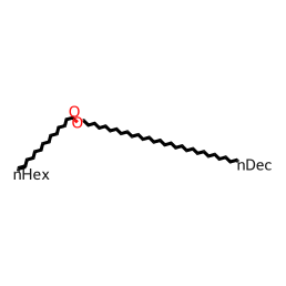 CCCCCCC=CCCCCCCCCCCCC(=O)OCCCCCCCCCCCCCCCCCCCCCCCCCCCCCCCCCCCCCCC